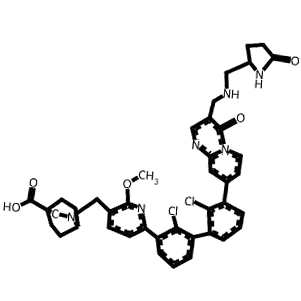 COc1nc(-c2cccc(-c3cccc(-c4ccn5c(=O)c(CNCC6CCC(=O)N6)cnc5c4)c3Cl)c2Cl)ccc1CN1CC2(C(=O)O)CCC1CC2